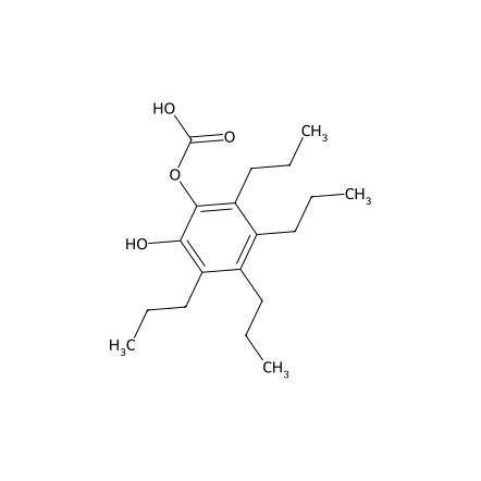 CCCc1c(O)c(OC(=O)O)c(CCC)c(CCC)c1CCC